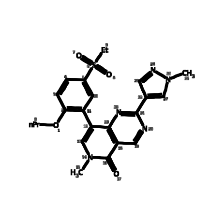 CCCOc1ccc(S(=O)(=O)CC)cc1-c1cn(C)c(=O)c2cnc(-c3cnn(C)c3)nc12